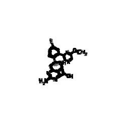 COc1cncc(-c2cc(F)ccc2[C@H]2Cc3nc(N)nc4c3C(=C4O)N2)n1